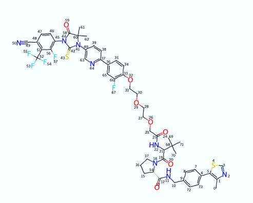 Cc1ncsc1-c1ccc(CNC(=O)[C@@H]2CCCN2C(=O)C(NC(=O)COCCOCCOc2ccc(-c3ccc(N4C(=S)N(c5ccc(C#N)c(C(F)(F)F)c5F)C(=O)C4(C)C)cn3)cc2F)C(C)(C)C)cc1